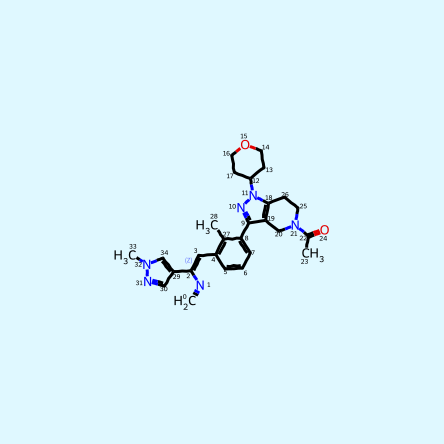 C=N/C(=C\c1cccc(-c2nn(C3CCOCC3)c3c2CN(C(C)=O)CC3)c1C)c1cnn(C)c1